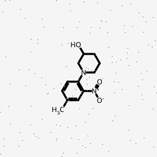 Cc1ccc(N2CCCC(O)C2)c([N+](=O)[O-])c1